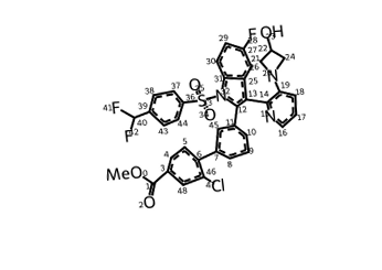 COC(=O)c1ccc(-c2cccc(-c3c(-c4ncccc4N4CC(O)C4)c4cc(F)ccc4n3S(=O)(=O)c3ccc(C(F)F)cc3)c2)c(Cl)c1